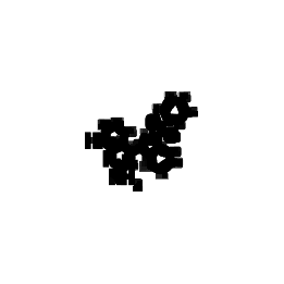 Nc1nc2c(c(-c3cn(S(=O)(=O)c4ccccc4)c4ccccc34)n1)CCCN2